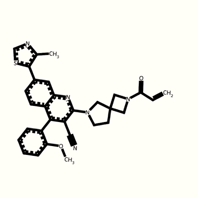 C=CC(=O)N1CC2(CCN(c3nc4cc(-c5scnc5C)ccc4c(-c4ccccc4OC)c3C#N)C2)C1